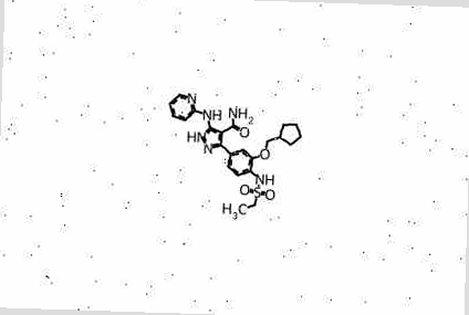 CCS(=O)(=O)Nc1ccc(-c2n[nH]c(Nc3ccccn3)c2C(N)=O)cc1OCC1CCCC1